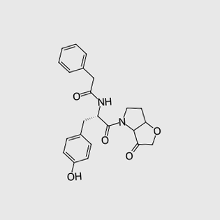 O=C(Cc1ccccc1)N[C@@H](Cc1ccc(O)cc1)C(=O)N1CCC2OCC(=O)C21